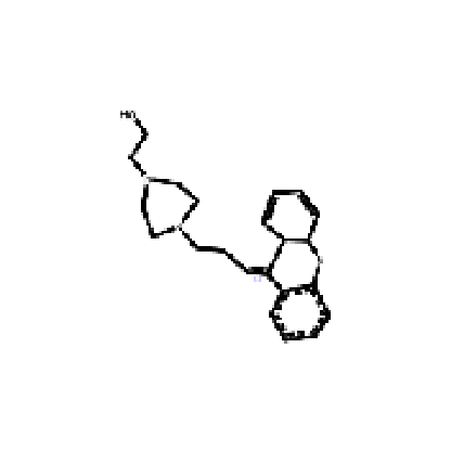 OCCN1CCN(CC/C=C2/c3ccccc3SC3C=CC=CC23)CC1